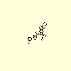 CCCCN(CC)c1nc2c(cc1NC(=O)c1coc(-c3ccnc(Cl)c3)n1)O[C@](C)(N1CCCCC1)N2